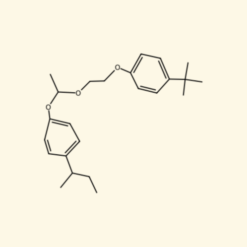 CCC(C)c1ccc(OC(C)OCCOc2ccc(C(C)(C)C)cc2)cc1